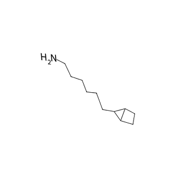 NCCCCCCC1C2CCC12